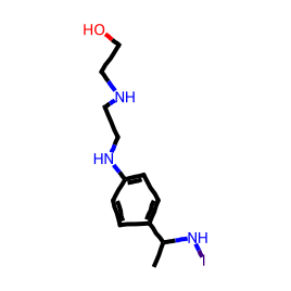 CC(NI)c1ccc(NCCNCCO)cc1